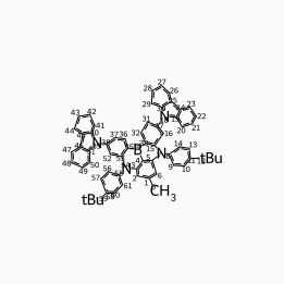 Cc1cc2c3c(c1)N(c1ccc(C(C)(C)C)cc1)c1cc(-n4c5ccccc5c5ccccc54)ccc1B3c1ccc(-n3c4ccccc4c4ccccc43)cc1N2c1ccc(C(C)(C)C)cc1